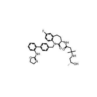 C[C@@H](O)CNC(C)(C)CC(=O)N[C@@H]1CCc2cc(F)ccc2N(Cc2ccc(-c3ccccc3NC3=NCCO3)cc2)C1=O